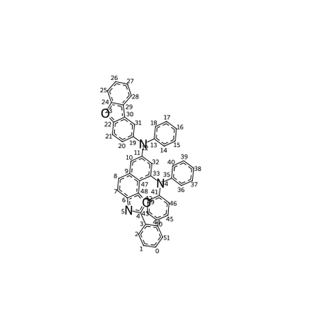 c1ccc(-c2nc3ccc4cc(N(c5ccccc5)c5ccc6oc7ccccc7c6c5)cc(N(c5ccccc5)c5ccccc5)c4c3o2)cc1